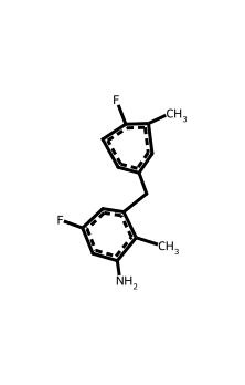 Cc1cc(Cc2cc(F)cc(N)c2C)ccc1F